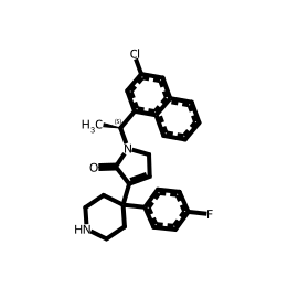 C[C@@H](c1cc(Cl)cc2ccccc12)N1CC=C(C2(c3ccc(F)cc3)CCNCC2)C1=O